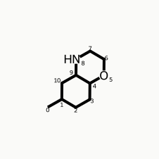 CC1CCC2OCCNC2C1